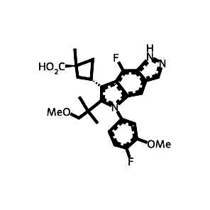 COCC(C)(C)c1c([C@H]2C[C@](C)(C(=O)O)C2)c2c(F)c3[nH]ncc3cc2n1-c1ccc(F)c(OC)c1